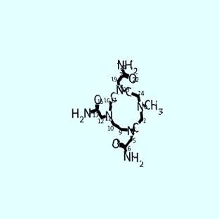 CN1CCN(CC(N)=O)CCN(CC(N)=O)CCN(CC(N)=O)CC1